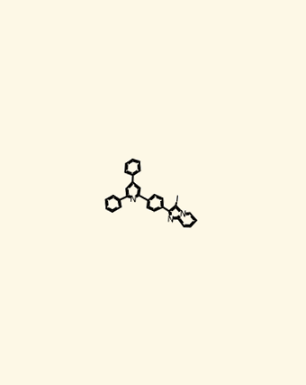 Ic1c(-c2ccc(-c3cc(-c4ccccc4)cc(-c4ccccc4)n3)cc2)nc2ccccn12